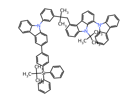 CC(C)(Cc1cccc2c1c1cccc(-n3c4ccccc4c4ccccc43)c1n2C(C)(C)C)c1cccc(-n2c3ccccc3c3cc(-c4ccc([Si](c5ccccc5)(c5ccccc5)C(C)(C)C)cc4)ccc32)c1